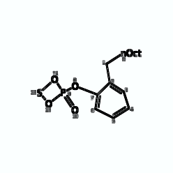 CCCCCCCCCc1ccccc1OP1(=O)OSO1